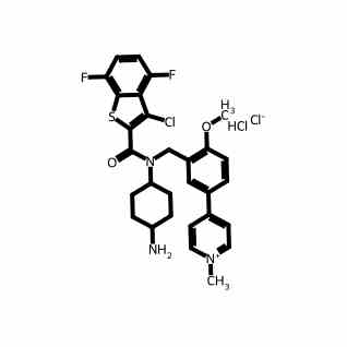 COc1ccc(-c2cc[n+](C)cc2)cc1CN(C(=O)c1sc2c(F)ccc(F)c2c1Cl)C1CCC(N)CC1.Cl.[Cl-]